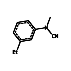 CCc1cccc(N(C)C#N)c1